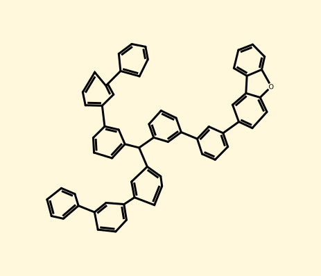 c1ccc(-c2cccc(-c3cccc(C(c4cccc(-c5cccc(-c6ccccc6)c5)c4)c4cccc(-c5cccc(-c6ccc7oc8ccccc8c7c6)c5)c4)c3)c2)cc1